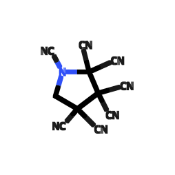 N#CN1CC(C#N)(C#N)C(C#N)(C#N)C1(C#N)C#N